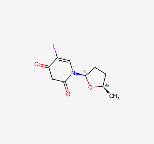 C[C@@H]1CC[C@H](N2C=C(I)C(=O)CC2=O)O1